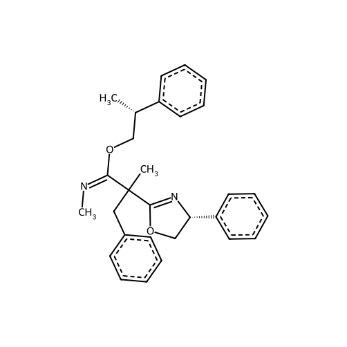 C/N=C(/OC[C@H](C)c1ccccc1)C(C)(Cc1ccccc1)C1=N[C@H](c2ccccc2)CO1